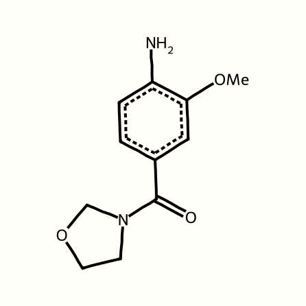 COc1cc(C(=O)N2CCOC2)ccc1N